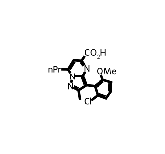 CCCc1cc(C(=O)O)nc2c(-c3c(Cl)cccc3OC)c(C)nn12